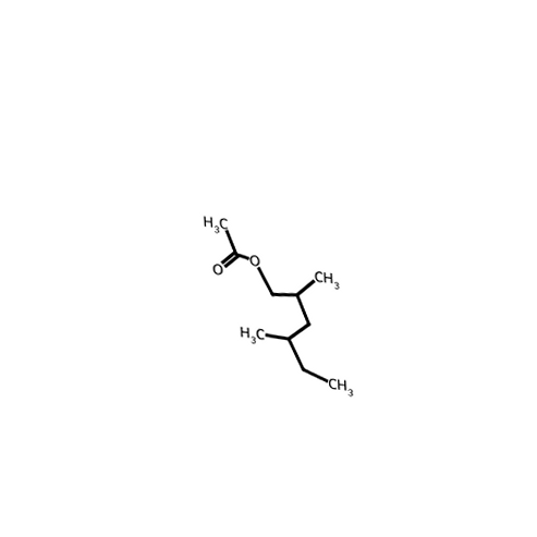 CCC(C)CC(C)COC(C)=O